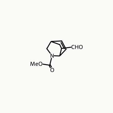 COC(=O)N1CC2C=CC1C(C=O)C2